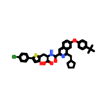 CC(C)(C)c1ccc(Oc2ccc3cc(C(=O)NC(Cc4ccc(-c5ccc(Cl)cc5)s4)C(=O)O)nc(CC4CCCC4)c3c2)cc1